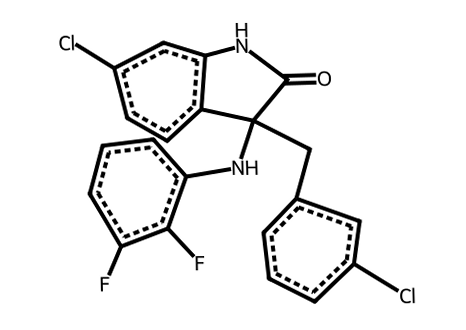 O=C1Nc2cc(Cl)ccc2C1(Cc1cccc(Cl)c1)Nc1cccc(F)c1F